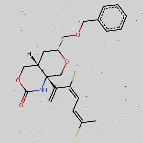 C=C(/C(F)=C\C=C(/C)F)[C@]12CO[C@@H](COCc3ccccc3)C[C@H]1COC(=O)N2